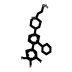 CCC[SiH]1CCC(c2ccc(-c3cc(F)c(F)c(F)c3)c(C3CCCCC3)c2)CC1